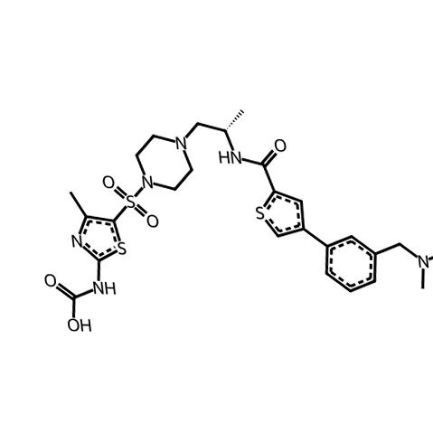 Cc1nc(NC(=O)O)sc1S(=O)(=O)N1CCN(C[C@H](C)NC(=O)c2cc(-c3cccc(CN(C)C)c3)cs2)CC1